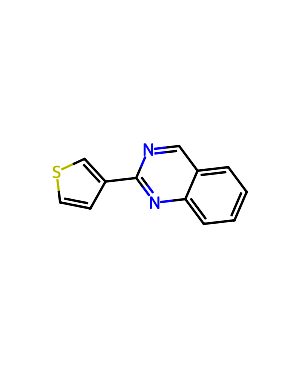 c1ccc2nc(-c3ccsc3)ncc2c1